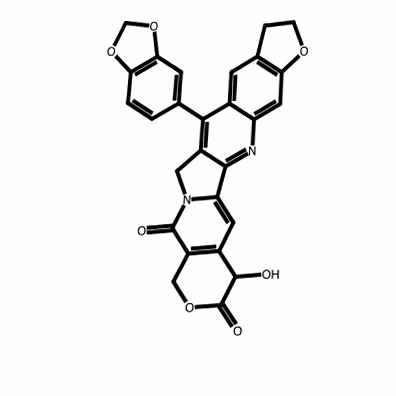 O=C1OCc2c(cc3n(c2=O)Cc2c-3nc3cc4c(cc3c2-c2ccc3c(c2)OCO3)CCO4)C1O